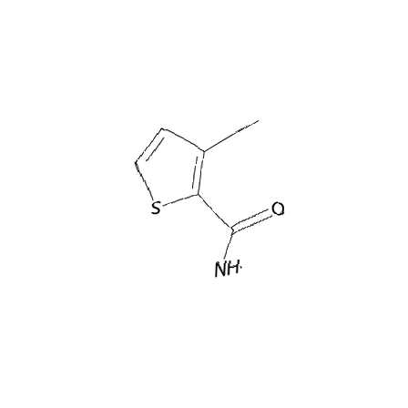 Cc1ccsc1C([NH])=O